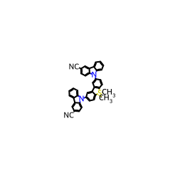 CS1(C)c2ccc(-n3c4ccccc4c4cc(C#N)ccc43)cc2-c2cc(-n3c4ccccc4c4cc(C#N)ccc43)ccc21